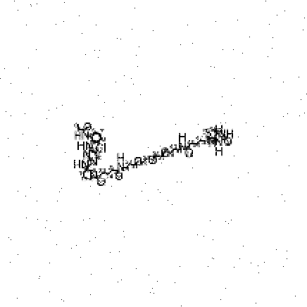 C=CC(=O)Nc1ccccc1Nc1nc(N[C@H]2CCCN(C(=O)CCCC(=O)NCCCOCCOCCOCCCNC(=O)CCCC[C@@H]3SC[C@@H]4NC(=O)N[C@@H]43)C2)ncc1Cl